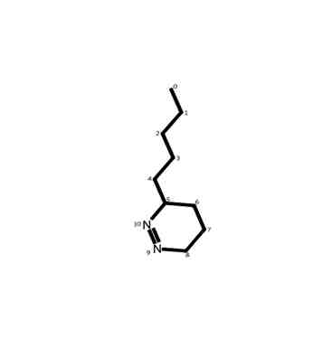 CCCCCC1CCCN=N1